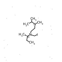 CC[C@@H](C)N(CI)CCN(C)C(C)C